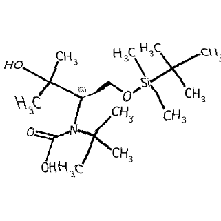 CC(C)(O)[C@@H](CO[Si](C)(C)C(C)(C)C)N(C(=O)O)C(C)(C)C